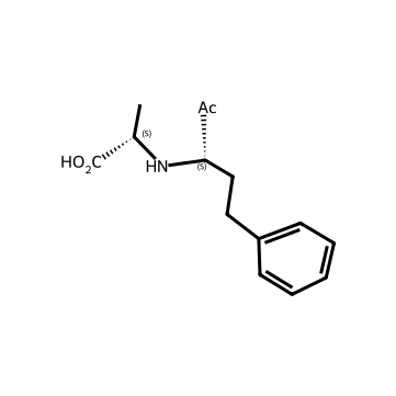 CC(=O)[C@H](CCc1ccccc1)N[C@@H](C)C(=O)O